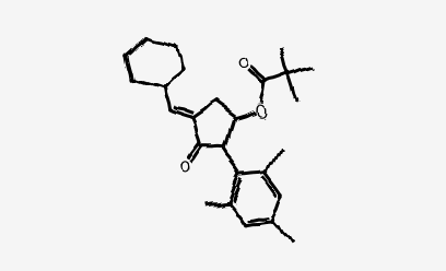 Cc1cc(C)c(C2C(=O)/C(=C/C3CCCCC3)CC2OC(=O)C(C)(C)C)c(C)c1